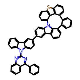 c1ccc(-c2nc(-n3c4ccccc4c4cc(-c5ccc6c(c5)c5cccc7c8ccccc8c8cccc9sc%10cccc(c%10c98)n6c75)ccc43)nc3ccccc23)cc1